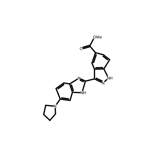 COC(=O)c1ccc2[nH]nc(-c3nc4ccc(N5CCCC5)cc4[nH]3)c2c1